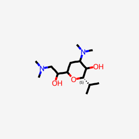 CC(C)[C@@H]1OC(C(O)CN(C)C)CC(N(C)C)C1O